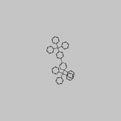 C1=CC(c2ccccc2)([Si](c2ccccc2)(c2ccccc2)c2ccccc2)CC=C1c1ccc([Si](c2ccccc2)(c2ccccc2)c2ccccc2)cc1